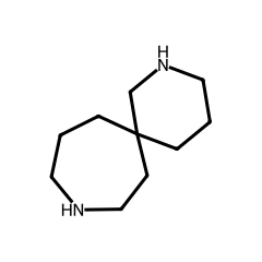 C1CNCCC2(C1)CCCNC2